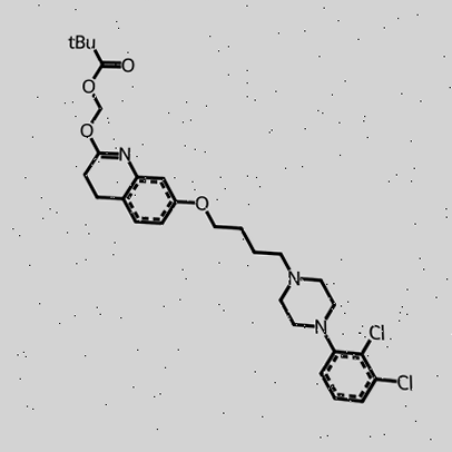 CC(C)(C)C(=O)OCOC1=Nc2cc(OCCCCN3CCN(c4cccc(Cl)c4Cl)CC3)ccc2CC1